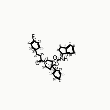 O=C(NC1CCc2ccccc21)OC1(c2ccccc2)CCN(C(=O)CCc2ccc(F)cc2)CC1